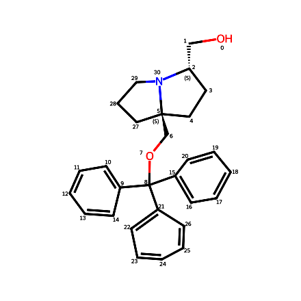 OC[C@@H]1CC[C@]2(COC(c3ccccc3)(c3ccccc3)c3ccccc3)CCCN12